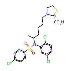 CC(CCCCN1CCS[C@@H]1C(=O)O)N(c1cc(Cl)ccc1Cl)S(=O)(=O)c1ccc(Cl)cc1